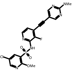 CNc1ncc(C#Cc2ccnc(NS(=O)(=O)c3cc(Cl)cnc3OC)c2F)cn1